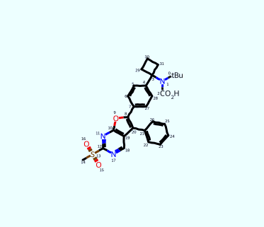 CC(C)(C)N(C(=O)O)C1(c2ccc(-c3oc4nc(S(C)(=O)=O)ncc4c3-c3ccccc3)cc2)CCC1